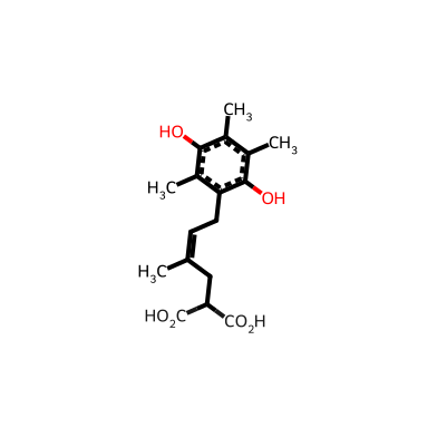 CC(=CCc1c(C)c(O)c(C)c(C)c1O)CC(C(=O)O)C(=O)O